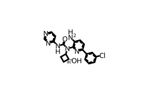 Nc1ccc(-c2cccc(Cl)c2)nc1N(C(=O)Nc1ccncn1)C1CC[C@H]1O